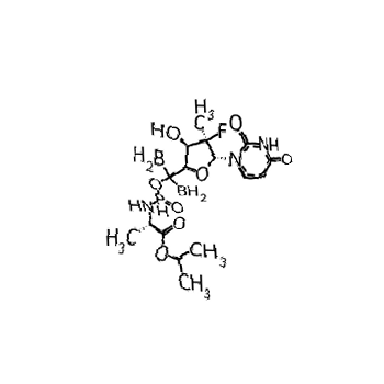 BC(B)(O[PH](=O)N[C@@H](C)C(=O)OC(C)C)C1O[C@@H](n2ccc(=O)[nH]c2=O)[C@](C)(F)[C@@H]1O